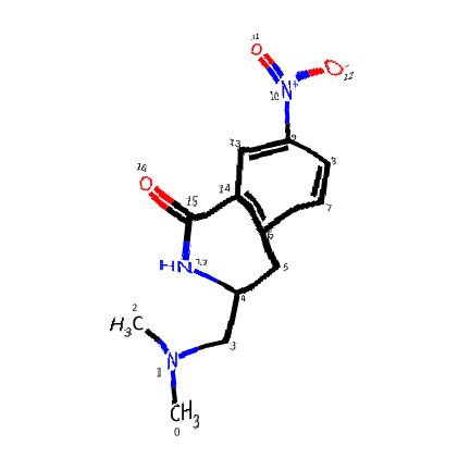 CN(C)CC1Cc2ccc([N+](=O)[O-])cc2C(=O)N1